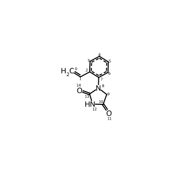 C=Cc1ccccc1N1CC(=O)NC1=O